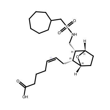 O=C(O)CCC/C=C\C[C@@H]1[C@H](CNS(=O)(=O)CC2CCCCCC2)[C@@H]2CC[C@H]1O2